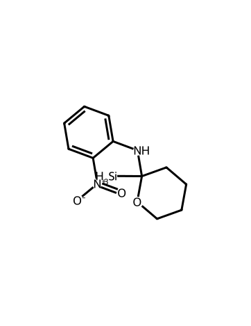 O=[N+]([O-])c1ccccc1NC1([SiH3])CCCCO1